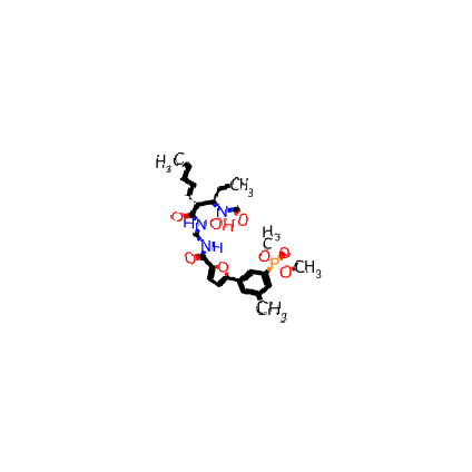 CCCCC[C@@H](C(=O)NCNC(=O)c1ccc(-c2cc(C)cc(P(=O)(OC)OC)c2)o1)[C@@H](CC)N(O)C=O